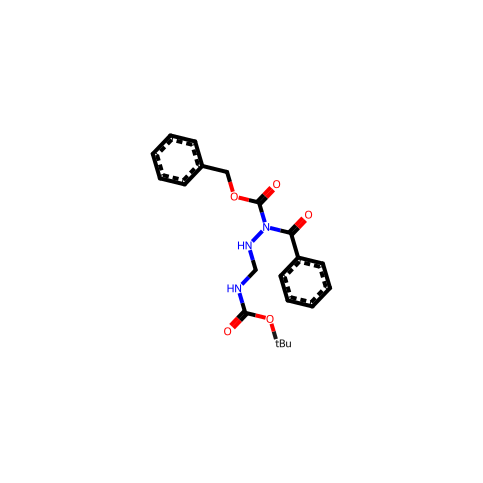 CC(C)(C)OC(=O)NCNN(C(=O)OCc1ccccc1)C(=O)c1ccccc1